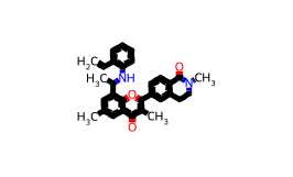 C=Cc1ccccc1NC(C)c1cc(C)cc2c(=O)c(C)c(-c3ccc4c(c3)CCN(C)C4=O)oc12